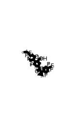 CCC(F)(F)c1ccc(-c2c(F)cc(NC(=O)C3(c4ccc(C(F)(F)F)cc4F)CC3)cc2C(=O)O)cn1